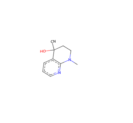 CN1CCC(O)(C#N)c2cccnc21